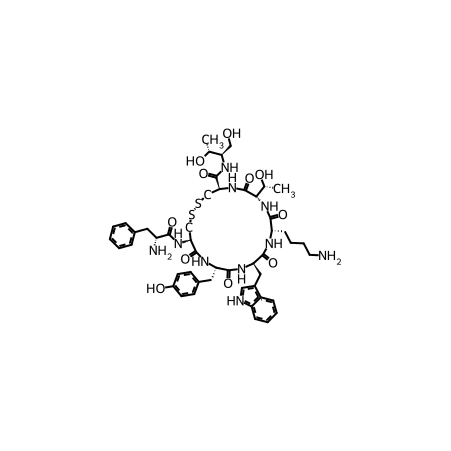 C[C@@H](O)[C@@H]1NC(=O)[C@H](CCCCN)NC(=O)[C@@H](Cc2c[nH]c3ccccc23)NC(=O)[C@H](Cc2ccc(O)cc2)NC(=O)[C@@H](NC(=O)[C@H](N)Cc2ccccc2)CSSC[C@@H](C(=O)N[C@H](CO)[C@@H](C)O)NC1=O